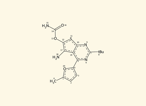 Cc1ccc(-c2nc(C(C)(C)C)nc3sc(OC(N)=O)c(N)c23)o1